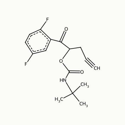 C#CCC(OC(=O)NC(C)(C)C)C(=O)c1cc(F)ccc1F